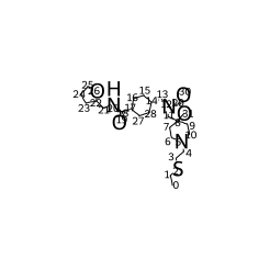 CCSCCN1CCC2(CC1)CN(C[C@H]1CC[C@H](C(=O)NCC3CCCO3)CC1)C(=O)O2